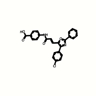 O=C(C=Cc1oc(-c2ccccc2)nc1-c1ccc(Cl)cc1)Nc1ccc(C(=O)O)cc1